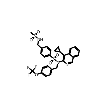 CS(=O)(=O)NCc1ccc(S(=O)(=O)N(Cc2ccc(OC(F)(F)F)cc2)c2ncc3ccccc3c2C2CC2)cc1